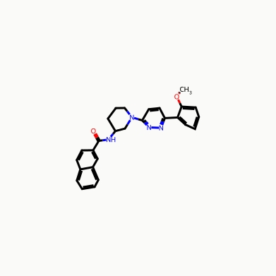 COc1ccccc1-c1ccc(N2CCCC(NC(=O)c3ccc4ccccc4c3)C2)nn1